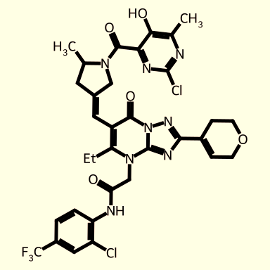 CCc1c(C=C2CC(C)N(C(=O)c3nc(Cl)nc(C)c3O)C2)c(=O)n2nc(C3=CCOCC3)nc2n1CC(=O)Nc1ccc(C(F)(F)F)cc1Cl